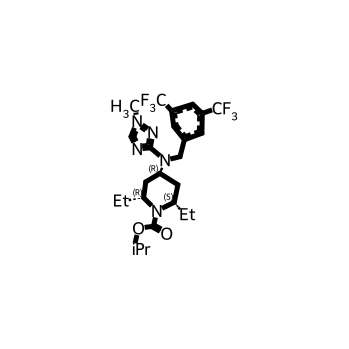 CC[C@@H]1C[C@H](N(Cc2cc(C(F)(F)F)cc(C(F)(F)F)c2)c2ncn(C)n2)C[C@H](CC)N1C(=O)OC(C)C